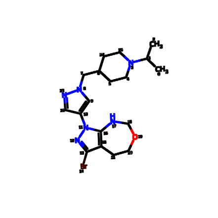 CC(C)N1CCC(Cn2cc(-n3nc(Br)c4c3NCOCC4)cn2)CC1